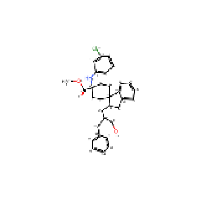 COC(=O)C1(Nc2cccc(Cl)c2)CCC2(CC1)c1ccccc1CC2CC(CO)Cc1ccccc1